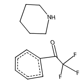 C1CCNCC1.O=C(c1ccccc1)C(F)(F)F